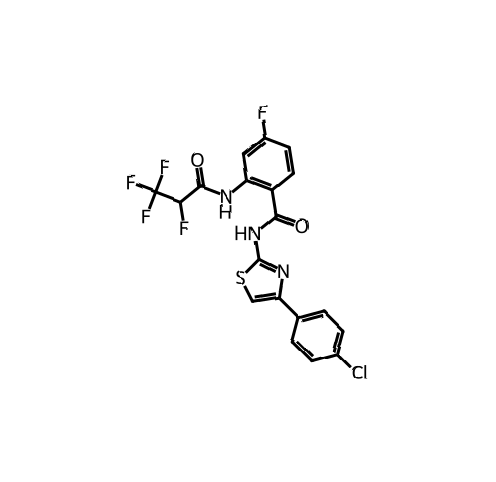 O=C(Nc1nc(-c2ccc(Cl)cc2)cs1)c1ccc(F)cc1NC(=O)C(F)C(F)(F)F